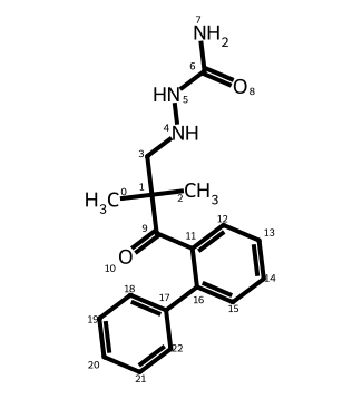 CC(C)(CNNC(N)=O)C(=O)c1ccccc1-c1ccccc1